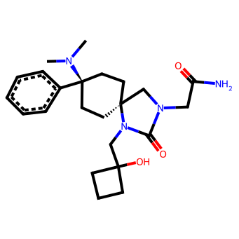 CN(C)[C@]1(c2ccccc2)CC[C@]2(CC1)CN(CC(N)=O)C(=O)N2CC1(O)CCC1